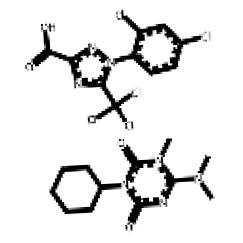 CN(C)c1nc(=O)n(C2CCCCC2)c(=O)n1C.O=C(O)c1nc(C(Cl)(Cl)Cl)n(-c2ccc(Cl)cc2Cl)n1